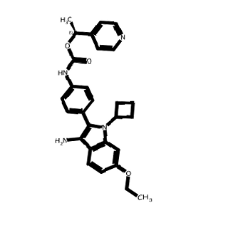 CCOc1ccc2c(N)c(-c3ccc(NC(=O)O[C@@H](C)c4ccncc4)cc3)n(C3CCC3)c2c1